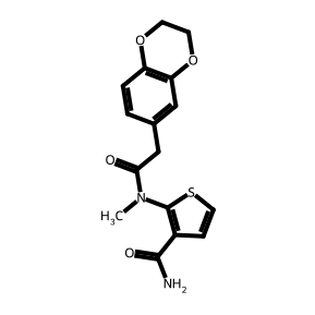 CN(C(=O)Cc1ccc2c(c1)OCCO2)c1sccc1C(N)=O